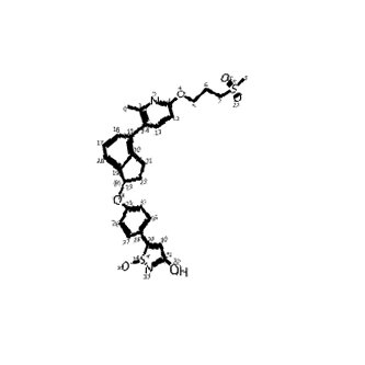 Cc1nc(OCCCS(C)(=O)=O)ccc1-c1cccc2c1CC[C@H]2Oc1ccc(-c2cc(O)n[s+]2[O-])cc1